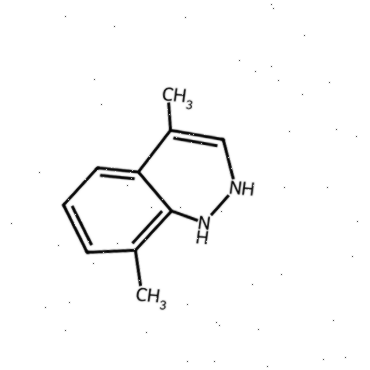 CC1=CNNc2c(C)cccc21